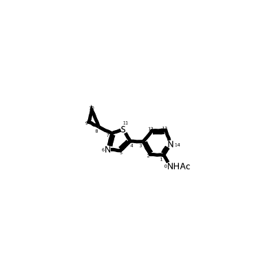 CC(=O)Nc1cc(-c2cnc(C3CC3)s2)ccn1